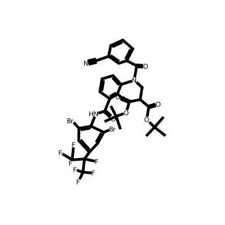 CC(C)(C)OC(=O)C(CN(C(=O)c1cccc(C#N)c1)c1cccc(C(=O)Nc2c(Br)cc(C(F)(C(F)(F)F)C(F)(F)F)cc2Br)c1F)C(=O)OC(C)(C)C